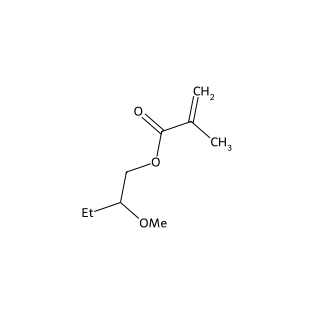 C=C(C)C(=O)OCC(CC)OC